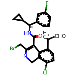 CC(C=O)c1ccc(Cl)c2c1C(C(=O)N[C@H](c1cccc(F)c1)C1CC1)=C(CBr)[N]C2